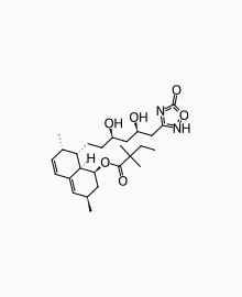 CCC(C)(C)C(=O)O[C@H]1C[C@@H](C)C=C2C=C[C@H](C)[C@H](CC[C@@H](O)C[C@@H](O)Cc3nc(=O)o[nH]3)[C@H]21